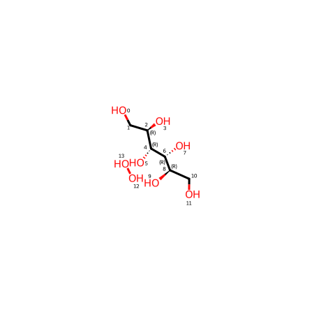 OC[C@@H](O)[C@@H](O)[C@H](O)[C@H](O)CO.OO